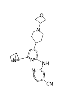 N#Cc1ccnc(Nc2cc(C3CCN(C4COC4)CC3)cc(N3CC4CC3C4)n2)c1